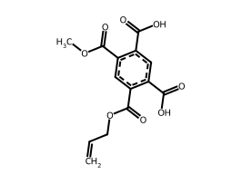 C=CCOC(=O)c1cc(C(=O)OC)c(C(=O)O)cc1C(=O)O